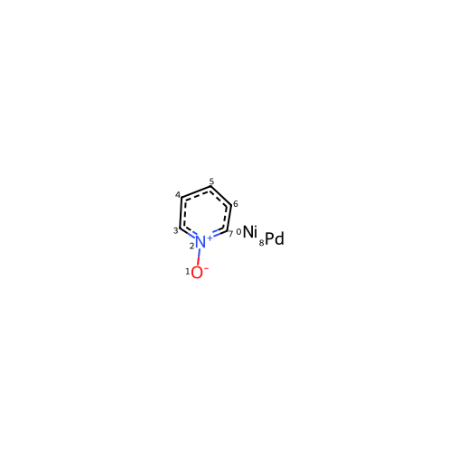 [Ni].[O-][n+]1ccccc1.[Pd]